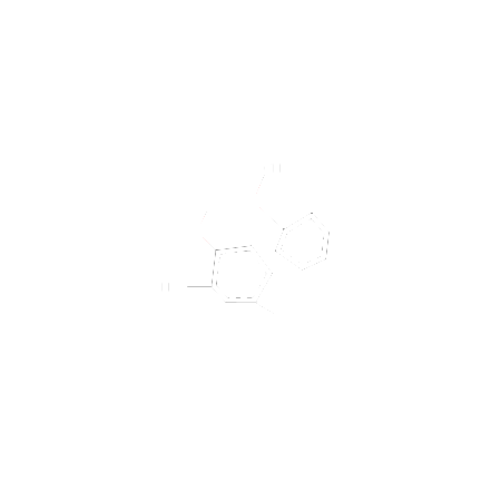 COc1ccc(C)cc1C.COc1ccccc1